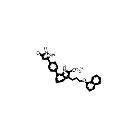 O=C(O)c1[nH]c2c(-c3ccc(-c4cc(=O)[nH][nH]4)cc3)cccc2c1CCCOc1cccc2ccccc12